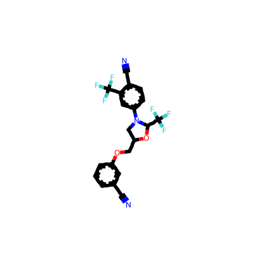 N#Cc1cccc(OCC2CN(c3ccc(C#N)c(C(F)(F)F)c3)C(C(F)(F)F)O2)c1